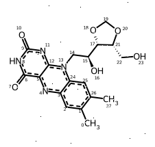 Cc1cc2nc3c(=O)[nH]c(=O)nc-3n(C[C@H](O)[C@@H]3OCO[C@@H]3CO)c2cc1C